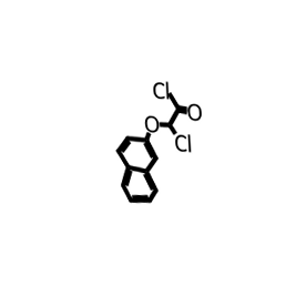 O=C(Cl)C(Cl)Oc1ccc2ccccc2c1